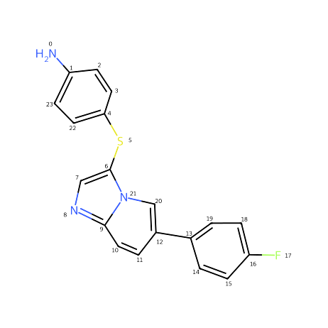 Nc1ccc(Sc2cnc3ccc(-c4ccc(F)cc4)cn23)cc1